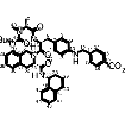 C[C@@H](C(=O)N[C@@H](Cc1ccc(NCc2ccc(C(=O)O)cc2)cc1)C(=O)N1Cc2ccccc2C[C@H]1C(=O)N[C@@H]1CCCc2ccccc21)N(C)C(=O)OC(C)(C)C